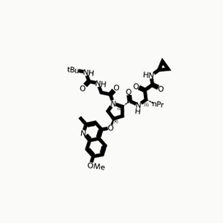 CCC[C@H](NC(=O)[C@@H]1C[C@@H](Oc2cc(C)nc3cc(OC)ccc23)CN1C(=O)CNC(=O)NC(C)(C)C)C(=O)C(=O)NC1CC1